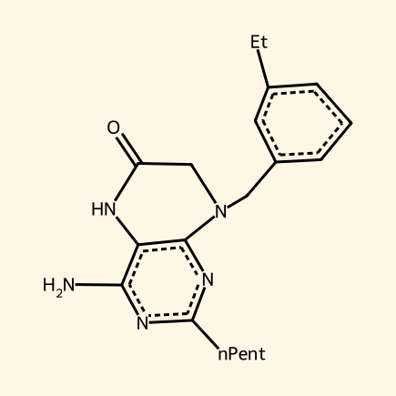 CCCCCc1nc(N)c2c(n1)N(Cc1cccc(CC)c1)CC(=O)N2